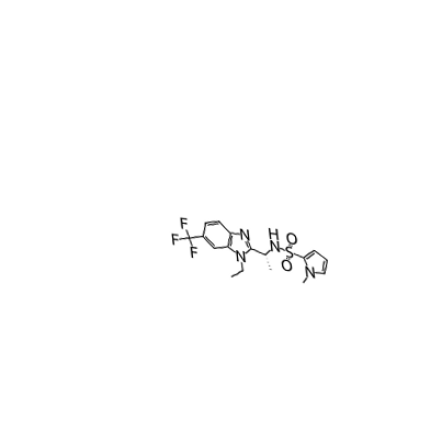 CCn1c([C@@H](C)NS(=O)(=O)c2cccn2C)nc2ccc(C(F)(F)F)cc21